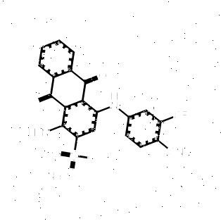 N#Cc1ccc(Nc2cc(S(=O)(=O)[O-])c(N)c3c2C(=O)c2ccccc2C3=O)cc1C(F)(F)F.[Na+]